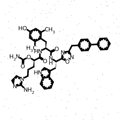 Cc1cc(O)cc(C)c1C[C@H](NC(=O)[C@@H](CCCn1ccnc1N)OC(N)=O)C(=O)N[C@@H](Cc1c[nH]c2ccccc12)c1nc(Cc2ccc(-c3ccccc3)cc2)no1